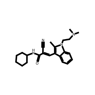 Cc1c(/C=C(\C#N)C(=O)NC2CCCCC2)c2ccccc2n1CCN(C)C